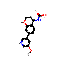 COc1cncc(-c2ccc3c(c2)OCCC3NC(=O)O)c1